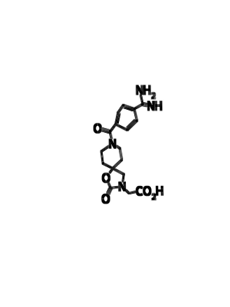 N=C(N)c1ccc(C(=O)N2CCC3(CC2)CN(CC(=O)O)C(=O)O3)cc1